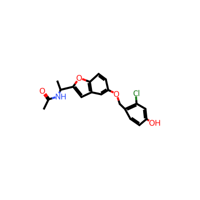 CC(=O)NC(C)c1cc2cc(OCc3ccc(O)cc3Cl)ccc2o1